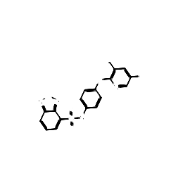 O=S(=O)(Nc1ccc(Oc2ncc(C(F)(F)F)cc2Cl)cc1)c1cccc2nonc12